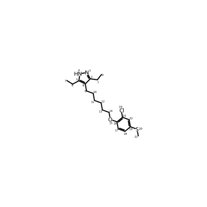 CCc1n[nH]c(CC)c1CCCCCCOc1ccc(SC)cc1Cl